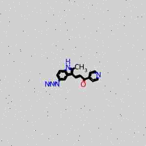 Cc1[nH]c2ccc(N=[N+]=[N-])cc2c1/C=C/C(=O)c1ccncc1